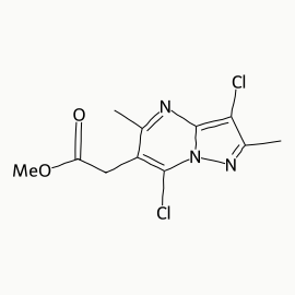 COC(=O)Cc1c(C)nc2c(Cl)c(C)nn2c1Cl